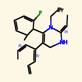 C=C/C=C(\C=C/C)C1=C(C2C(F)=CC=CC2C)N(CC(C)C)/C(=C\C)NC1